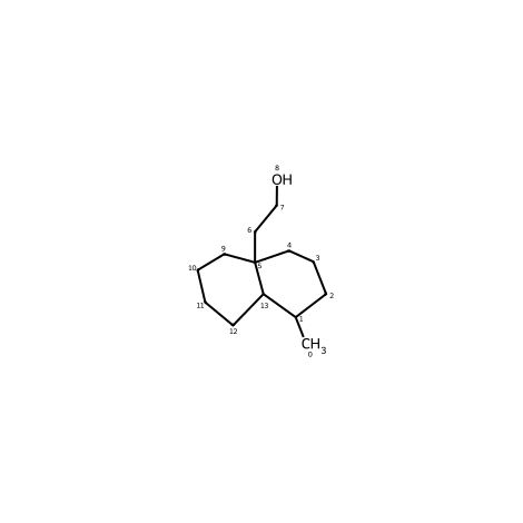 CC1CCCC2(CCO)CCCCC12